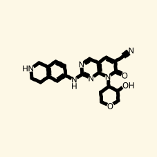 N#Cc1cc2cnc(Nc3ccc4c(c3)CCNC4)nc2n(C2CCOCC2O)c1=O